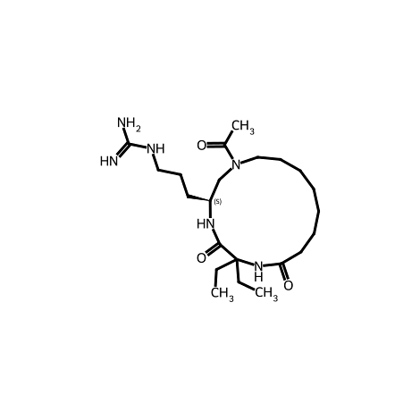 CCC1(CC)NC(=O)CCCCCCCN(C(C)=O)C[C@H](CCCNC(=N)N)NC1=O